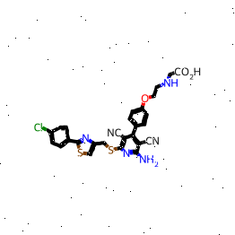 N#Cc1c(N)nc(SCc2csc(-c3ccc(Cl)cc3)n2)c(C#N)c1-c1ccc(OCCNCC(=O)O)cc1